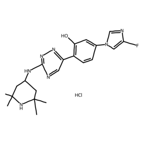 CC1(C)CC(Nc2ncc(-c3ccc(-n4cnc(F)c4)cc3O)nn2)CC(C)(C)N1.Cl